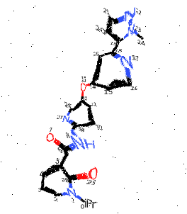 CC(C)n1cccc(C(=O)Nc2ccc(Oc3ccnc(-c4ccnn4C)c3)cn2)c1=O